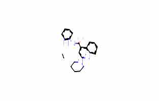 CC.O=C(Nc1ccccc1)c1cc(N2CCCCC2)nc2ccccc12